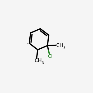 CC1[C]=CC=CC1(C)Cl